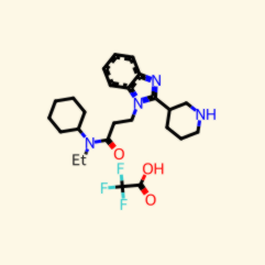 CCN(C(=O)CCn1c(C2CCCNC2)nc2ccccc21)C1CCCCC1.O=C(O)C(F)(F)F